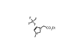 CCOC(=O)CN1C=CN(C)C1.F[B-](F)(F)F